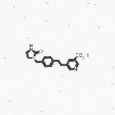 O=C(O)c1cncc(CCc2ccc(CN3CCNC3=O)cc2)c1